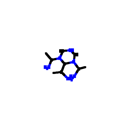 CB(N)B1N(B(C)N)BNBN1B(C)N